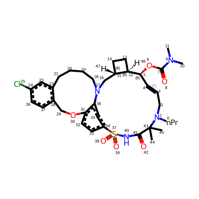 CCCN1C/C=C/[C@H](OC(=O)N(C)C)[C@@H]2CC[C@H]2CN2CCCCc3cc(Cl)ccc3COc3ccc(cc32)S(=O)(=O)NC(=O)C1(C)C